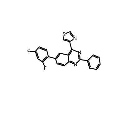 Fc1ccc(-c2ccc3nc(-c4ccccc4)nc(-c4cscn4)c3c2)c(F)c1